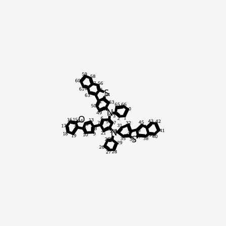 c1ccc(N(c2cc(-c3ccc4c(c3)oc3ccccc34)cc(N(c3ccccc3)c3ccc4c(c3)sc3cc5ccccc5cc34)c2)c2ccc3c(c2)sc2cc4ccccc4cc23)cc1